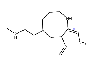 C=NC1CC(CCPC)CCCN/C1=C/N